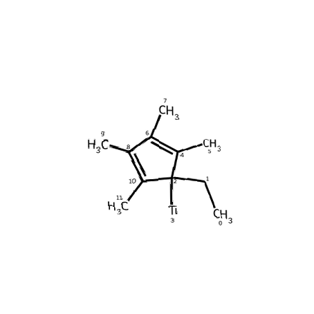 CC[C]1([Ti])C(C)=C(C)C(C)=C1C